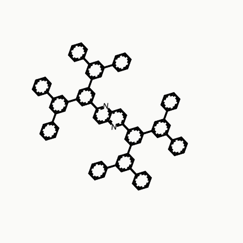 c1ccc(-c2cc(-c3ccccc3)cc(-c3cc(-c4cc(-c5ccccc5)cc(-c5ccccc5)c4)cc(-c4ccc5nc(-c6cc(-c7cc(-c8ccccc8)cc(-c8ccccc8)c7)cc(-c7cc(-c8ccccc8)cc(-c8ccccc8)c7)c6)ccc5n4)c3)c2)cc1